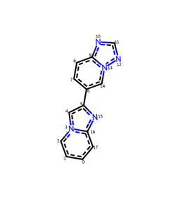 c1ccn2cc(-c3ccc4ncnn4c3)nc2c1